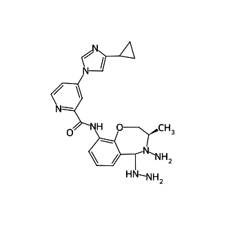 C[C@@H]1COc2c(NC(=O)c3cc(-n4cnc(C5CC5)c4)ccn3)cccc2C(NN)N1N